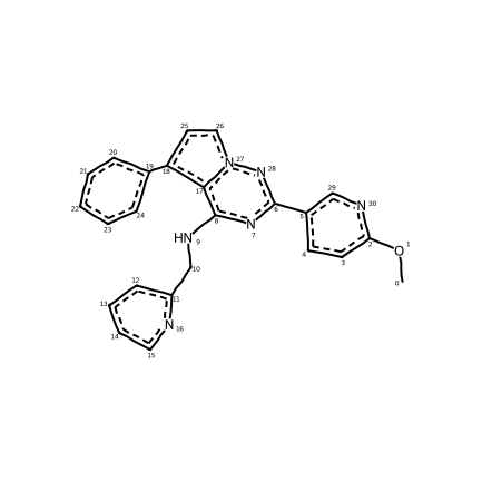 COc1ccc(-c2nc(NCc3ccccn3)c3c(-c4ccccc4)ccn3n2)cn1